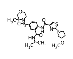 CO[C@H]1CCN(c2nc(C(=O)Nc3ccc(CN4CCOCC4(C)C)cc3C(=O)NC(C)C)cs2)C1